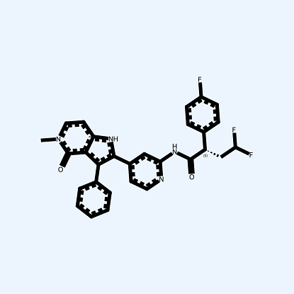 Cn1ccc2[nH]c(-c3ccnc(NC(=O)[C@@H](CC(F)F)c4ccc(F)cc4)c3)c(-c3ccccc3)c2c1=O